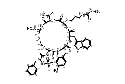 C[C@@H](O)[C@@H]1NC(=O)[C@H](CCCCNC(=O)OC(C)(C)C)NC(=O)[C@@H](Cc2c[nH]c3ccccc23)NC(=O)[C@H](Cc2ccc(O)cc2)NC(=O)[C@@H](NC(=O)[C@@H](Cc2ccccc2)NS(C)(=O)=O)CSSC[C@@H](C(=O)O)NC1=O